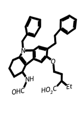 CCC(CCOc1cc2c3c(n(Cc4ccccc4)c2cc1CCc1ccccc1)CCCC3NC=O)C(=O)O